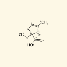 CC1=CCC(CCl)(C(=O)O)O1